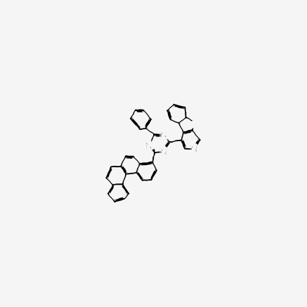 C1=CC2Oc3cncc(-c4nc(-c5ccccc5)nc(-c5cccc6c5ccc5ccc7ccccc7c56)n4)c3C2C=C1